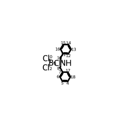 ClB(Cl)Cl.c1ccc(CNCc2ccccc2)cc1